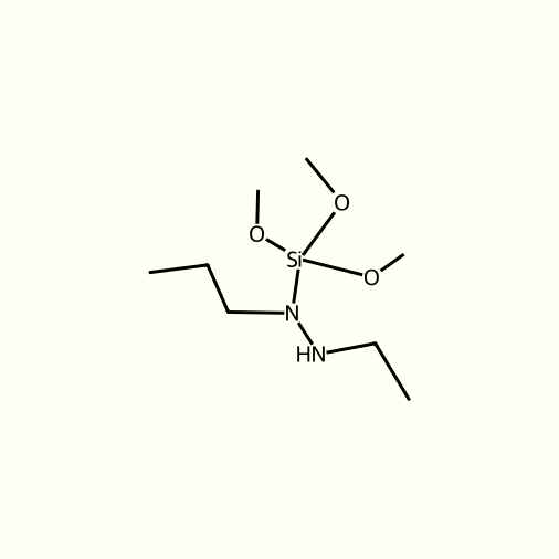 CCCN(NCC)[Si](OC)(OC)OC